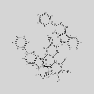 Fc1c(F)c(F)c(-c2cc(-n3c4ccccc4c4ccc(-c5ccccc5)cc43)c(C(F)(F)F)cc2-n2c3ccccc3c3ccc(-c4ccccc4)cc32)c(F)c1F